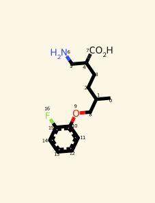 CC(CCC(CN)C(=O)O)COc1ccccc1F